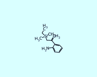 C=C(C[Si](C)(C)CC)c1ccccc1N